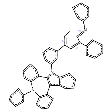 C\C=C(/C=C(\C=N\c1ccccc1)c1ccccc1)c1cccc(-n2c3c(c4ccccc42)-c2ccccc2N(c2ccccc2)c2ccccc2-3)c1